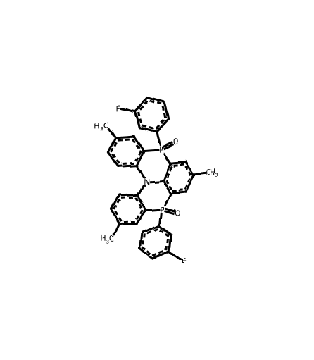 Cc1ccc2c(c1)P(=O)(c1cccc(F)c1)c1cc(C)cc3c1N2c1ccc(C)cc1P3(=O)c1cccc(F)c1